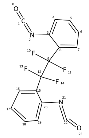 O=C=Nc1ccccc1C(F)(F)C(F)(F)c1ccccc1N=C=O